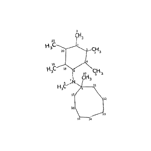 CC1C(C)C(C)C(N(C)C2(C)CCCCCCC2)C(C)C1C